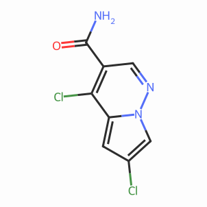 NC(=O)c1cnn2cc(Cl)cc2c1Cl